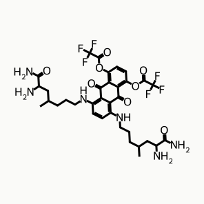 CC(CCCNc1ccc(NCCCC(C)CC(N)C(N)=O)c2c1C(=O)c1c(OC(=O)C(F)(F)F)ccc(OC(=O)C(F)(F)F)c1C2=O)CC(N)C(N)=O